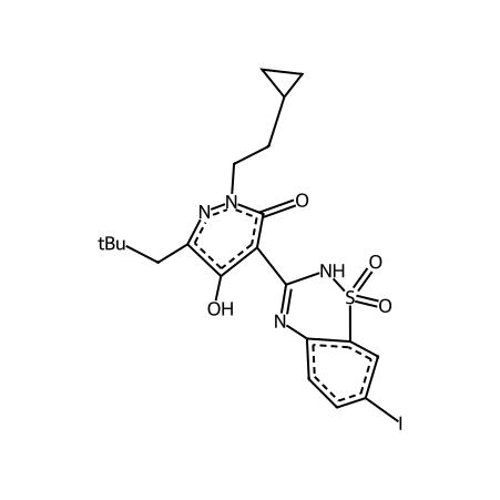 CC(C)(C)Cc1nn(CCC2CC2)c(=O)c(C2=Nc3ccc(I)cc3S(=O)(=O)N2)c1O